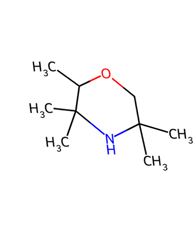 CC1OCC(C)(C)NC1(C)C